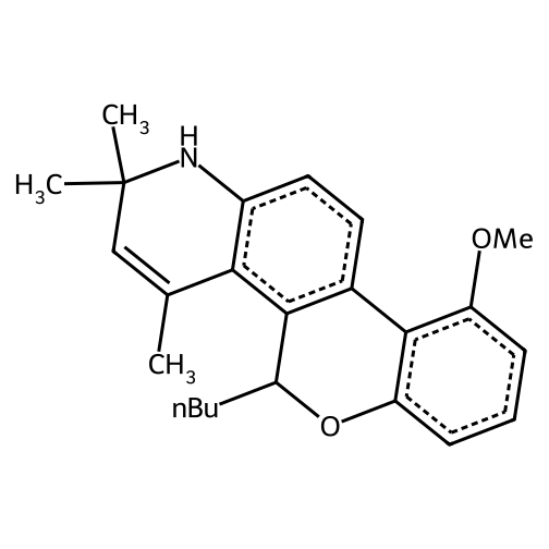 CCCCC1Oc2cccc(OC)c2-c2ccc3c(c21)C(C)=CC(C)(C)N3